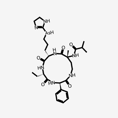 CC[C@@H]1NC(=O)[C@H](CCC[AsH]C2=NCCN2)NC(=O)[C@](C)(NC(=O)C(C)C)CCNC(=O)[C@@H](c2ccccc2)NC1=O